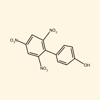 O=[N+]([O-])c1cc([N+](=O)[O-])c(-c2ccc(O)cc2)c([N+](=O)[O-])c1